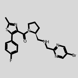 Cc1nc(C(=O)N2CCC[C@H]2CNCc2ncc(Br)cn2)c(-c2ccc(F)cc2)s1